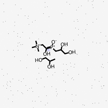 CC(O)CO.C[N+](C)(C)C/C(O)=[P+](\[O-])CC(O)CO